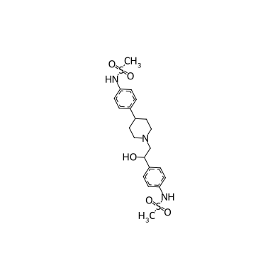 CS(=O)(=O)Nc1ccc(C(O)CN2CCC(c3ccc(NS(C)(=O)=O)cc3)CC2)cc1